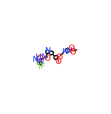 COc1ccc(-c2ccc3nccc(C(=O)NCC(=O)N4CC(F)(F)C[C@H]4C#N)c3c2)cc1OCCCN1CCN(C(=O)OC(C)(C)C)CC1